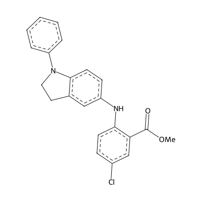 COC(=O)c1cc(Cl)ccc1Nc1ccc2c(c1)CCN2c1ccccc1